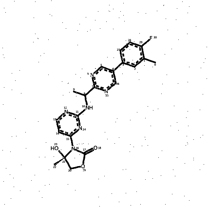 Cc1cc(-c2cnc(C(C)Nc3nccc(N4C(=O)OC[C@]4(C)O)n3)nc2)ccc1F